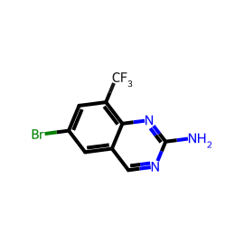 Nc1ncc2cc(Br)cc(C(F)(F)F)c2n1